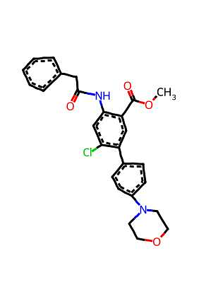 COC(=O)c1cc(-c2ccc(N3CCOCC3)cc2)c(Cl)cc1NC(=O)Cc1ccccc1